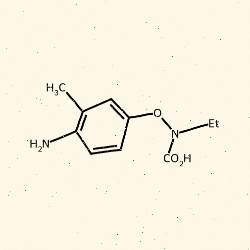 CCN(Oc1ccc(N)c(C)c1)C(=O)O